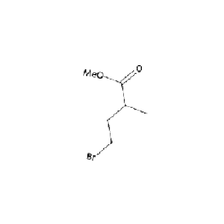 COC(=O)C(C)CCBr